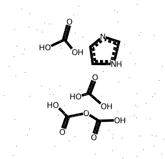 O=C(O)O.O=C(O)O.O=C(O)OC(=O)O.c1c[nH]cn1